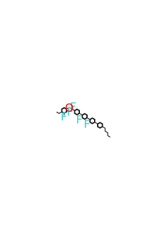 CCCCCc1ccc(-c2ccc(-c3ccc(-c4ccc(C(F)(F)Oc5ccc(CC)c(F)c5)cc4)c(F)c3)c(F)c2)cc1